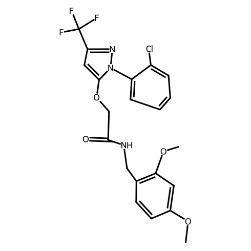 COc1ccc(CNC(=O)COc2cc(C(F)(F)F)nn2-c2ccccc2Cl)c(OC)c1